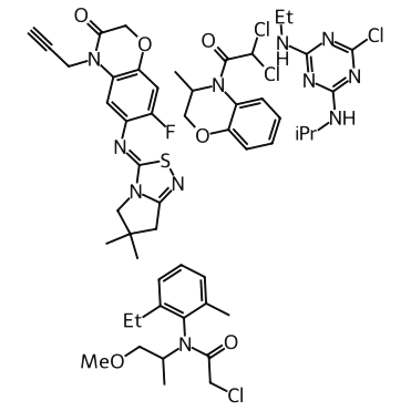 C#CCN1C(=O)COc2cc(F)c(/N=c3\snc4n3CC(C)(C)C4)cc21.CC1COc2ccccc2N1C(=O)C(Cl)Cl.CCNc1nc(Cl)nc(NC(C)C)n1.CCc1cccc(C)c1N(C(=O)CCl)C(C)COC